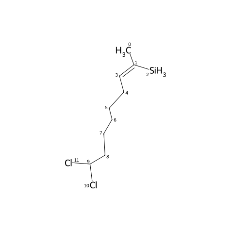 CC([SiH3])=CCCCCCC(Cl)Cl